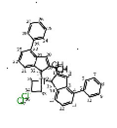 CC1=Cc2c(-c3ccccc3)cccc2[CH]1[Ti+2]1([CH]2C(C)=Cc3c(-c4ccccc4)cccc32)[CH2]C[CH2]1.[Cl-].[Cl-]